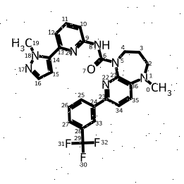 CN1CCCN(C(=O)Nc2cccc(-c3ccnn3C)n2)c2nc(-c3cccc(C(F)(F)F)c3)ccc21